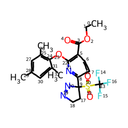 CCOC(=O)c1ccc(C2(S(=O)(=O)C(F)(F)F)CCN=N2)nc1Oc1c(C)cc(C)cc1C